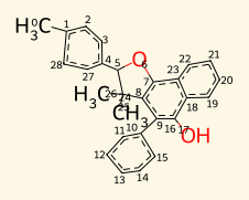 Cc1ccc(C2Oc3c(c(-c4ccccc4)c(O)c4ccccc34)C2(C)C)cc1